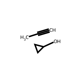 C#CC.OC1CC1